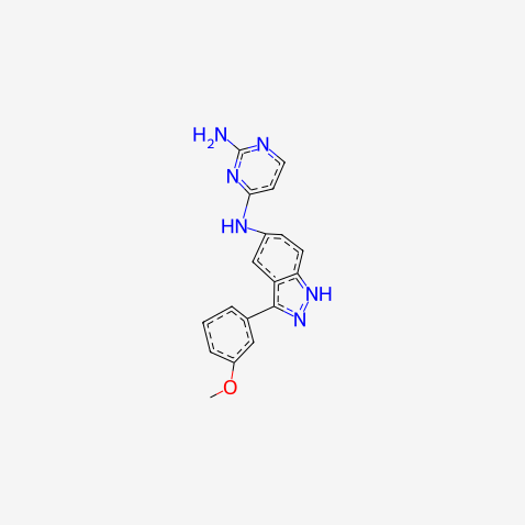 COc1cccc(-c2n[nH]c3ccc(Nc4ccnc(N)n4)cc23)c1